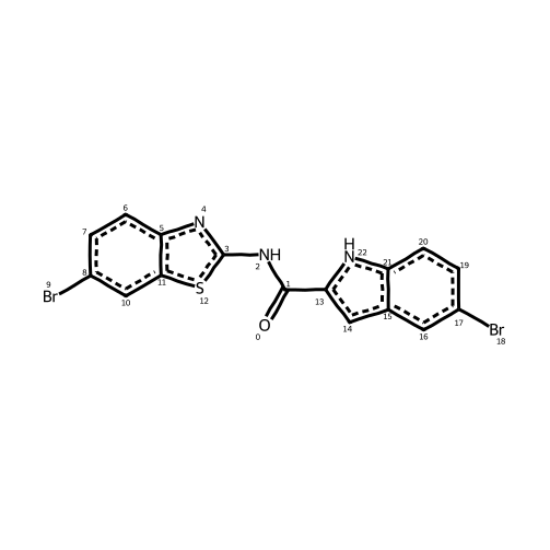 O=C(Nc1nc2ccc(Br)cc2s1)c1cc2cc(Br)ccc2[nH]1